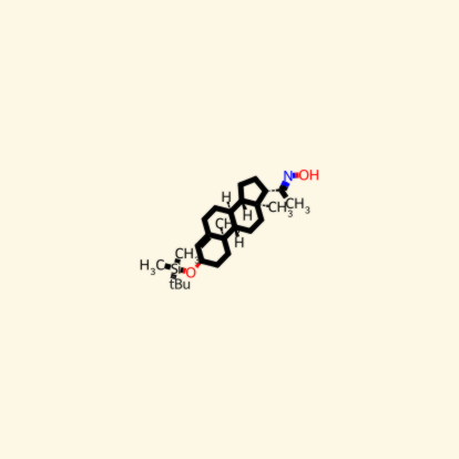 C/C(=N\O)[C@H]1CC[C@H]2[C@@H]3CCC4=C[C@H](O[Si](C)(C)C(C)(C)C)CC[C@]4(C)[C@H]3CC[C@]12C